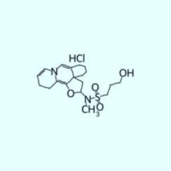 CN(C1CC23CCCCC2=CN2C=CCCC2=C3O1)S(=O)(=O)CCCO.Cl